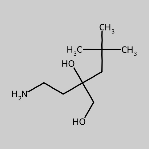 CC(C)(C)CC(O)(CO)CCN